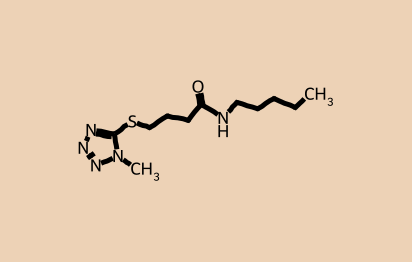 CCCCCNC(=O)CCCSc1nnnn1C